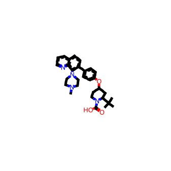 CN1CCN(c2c(-c3ccc(OC4CCN(C(=O)O)C(C(C)(C)C)C4)cc3)ccc3cccnc23)CC1